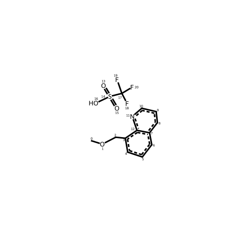 COCc1cccc2cccnc12.O=S(=O)(O)C(F)(F)F